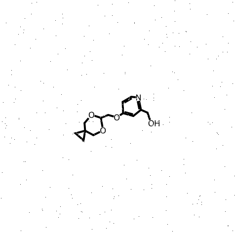 OCc1cc(OCC2OCC3(CC3)CO2)ccn1